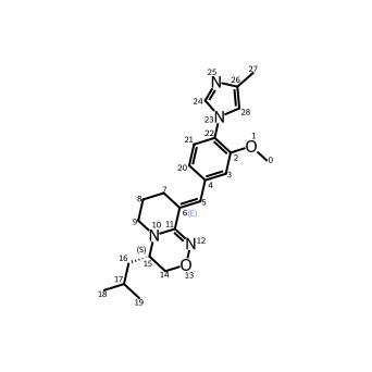 COc1cc(/C=C2\CCCN3C2=NOC[C@@H]3CC(C)C)ccc1-n1cnc(C)c1